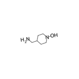 NCC1CCN(O)CC1